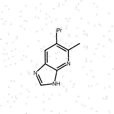 Cc1nc2[nH]cnc2cc1C(C)C